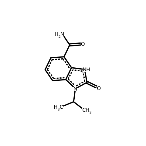 CC(C)n1c(=O)[nH]c2c(C(N)=O)cccc21